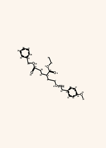 CCOC(=O)C(CCONCc1ccc(OC)cc1)CCC(=O)OCc1ccccc1